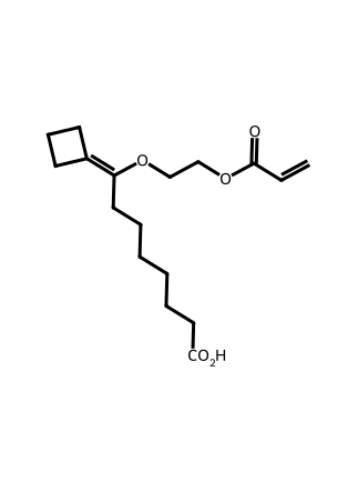 C=CC(=O)OCCOC(CCCCCCC(=O)O)=C1CCC1